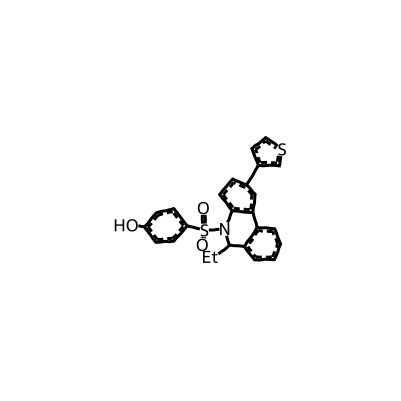 CCC1c2ccccc2-c2cc(-c3ccsc3)ccc2N1S(=O)(=O)c1ccc(O)cc1